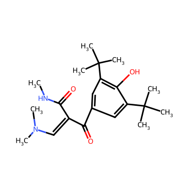 CNC(=O)C(=CN(C)C)C(=O)c1cc(C(C)(C)C)c(O)c(C(C)(C)C)c1